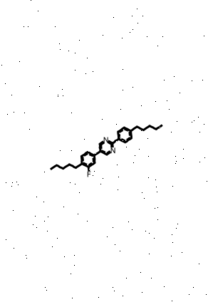 CCCCCc1ccc(-c2ncc(-c3ccc(CCCCC)c(F)c3)cn2)cc1